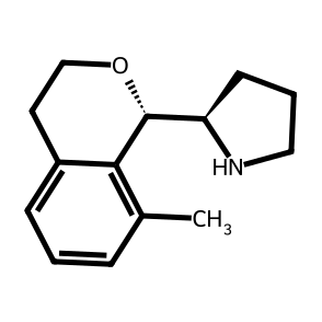 Cc1cccc2c1[C@@H]([C@H]1CCCN1)OCC2